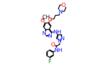 COc1cc2ncnc(Nc3cnn(CC(=O)Nc4cccc(F)c4)c3)c2cc1OCCCN1CCOCC1